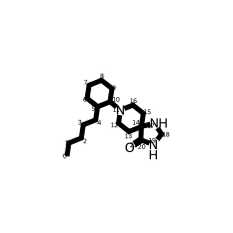 CCCCCC1CCCCC1N1CCC2(CC1)NCNC2=O